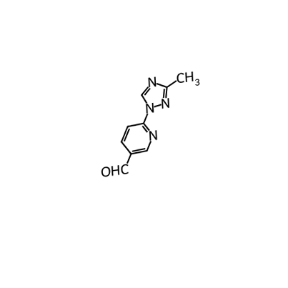 Cc1ncn(-c2ccc(C=O)cn2)n1